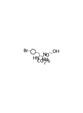 NC(=NOCCO)C(Cc1ccc(Br)cc1)NC(=O)O